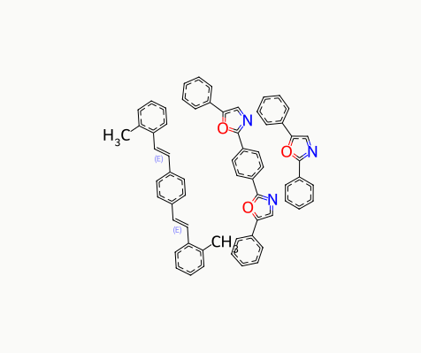 Cc1ccccc1/C=C/c1ccc(/C=C/c2ccccc2C)cc1.c1ccc(-c2cnc(-c3ccc(-c4ncc(-c5ccccc5)o4)cc3)o2)cc1.c1ccc(-c2cnc(-c3ccccc3)o2)cc1